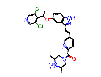 CC1CN(C(=O)c2ccc(/C=C/c3n[nH]c4ccc(OC(C)c5c(Cl)cncc5Cl)cc34)cn2)CC(C)N1